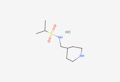 CC(C)S(=O)(=O)NCC1CCNCC1.Cl